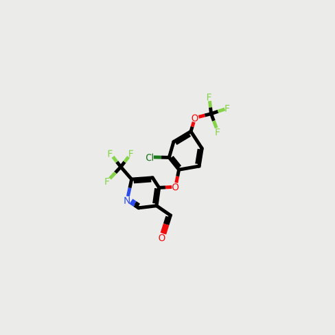 O=Cc1cnc(C(F)(F)F)cc1Oc1ccc(OC(F)(F)F)cc1Cl